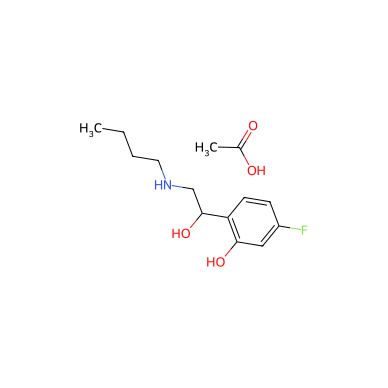 CC(=O)O.CCCCNCC(O)c1ccc(F)cc1O